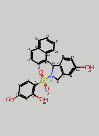 O=S(=O)(c1ccc(O)cc1O)N1Cc2cc(O)ccc2C1c1cccc2ccccc12